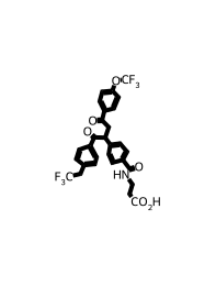 O=C(O)CCNC(=O)c1ccc(C(CC(=O)c2ccc(OC(F)(F)F)cc2)C(=O)c2ccc(CC(F)(F)F)cc2)cc1